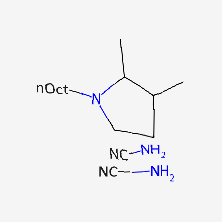 CCCCCCCCN1CCC(C)C1C.N#CN.N#CN